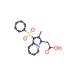 Cc1c(S(=O)(=O)c2ccccc2)c2ccccn2c1CC(=O)O